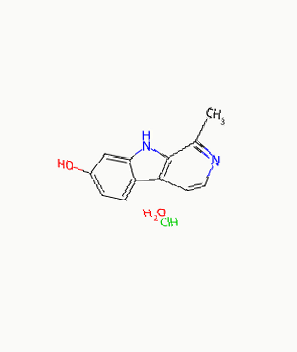 Cc1nccc2c1[nH]c1cc(O)ccc12.Cl.O